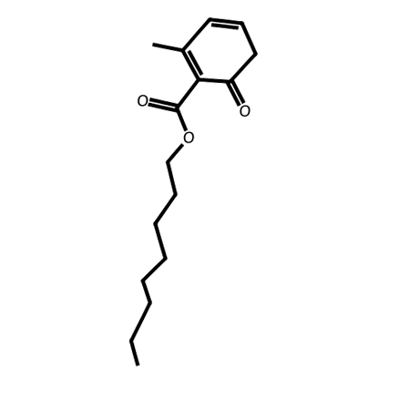 CCCCCCCCOC(=O)C1=C(C)C=CCC1=O